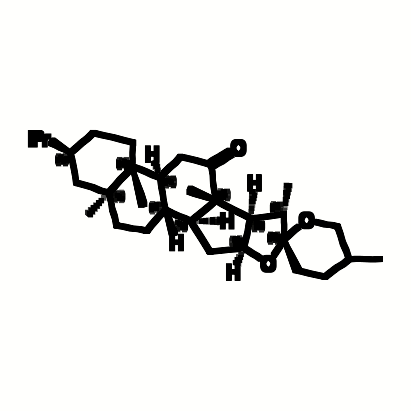 CC1CC[C@@]2(OC1)O[C@H]1C[C@H]3[C@@H]4CC[C@@]5(C)C[C@@H](C(C)C)CC[C@]5(C)[C@H]4CC(=O)[C@]3(C)[C@H]1[C@@H]2C